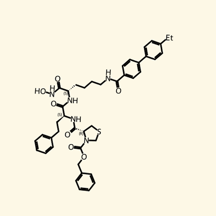 CCc1ccc(-c2ccc(C(=O)NCCCC[C@H](NC(=O)[C@H](CCc3ccccc3)NC(=O)[C@@H]3CSCN3C(=O)OCc3ccccc3)C(=O)NO)cc2)cc1